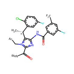 CNC(=O)c1nc(NC(=O)c2cc(F)cc(C(F)(F)F)c2)c([C@H](C)c2cc(F)ccc2Cl)n1CC(C)=O